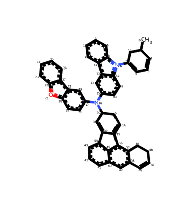 CC1C=CC=C(n2c3ccccc3c3cc(N(c4ccc5oc6ccccc6c5c4)C4C=C5C(=CC4)c4c6c(cc7cccc5c47)C=CCC6)ccc32)C1